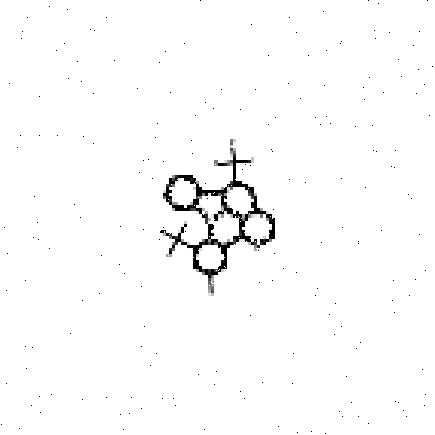 Cc1cc(C(C)(C)C)c2c(c1)c1nccc3cc(C(F)(F)F)c4c5ccccc5n2c4c31